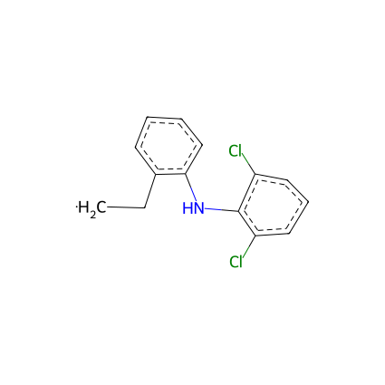 [CH2]Cc1ccccc1Nc1c(Cl)cccc1Cl